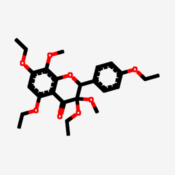 CCOc1ccc(C2Oc3c(OC)c(OCC)cc(OCC)c3C(=O)C2(OC)OCC)cc1